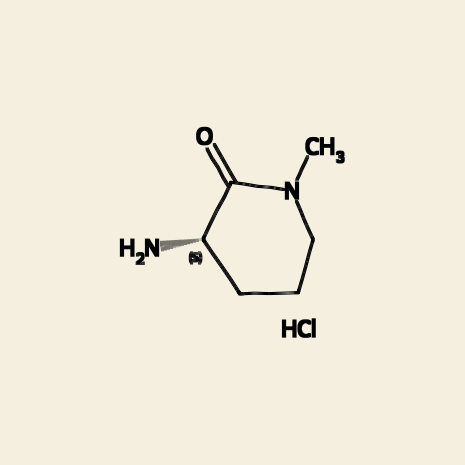 CN1CCC[C@H](N)C1=O.Cl